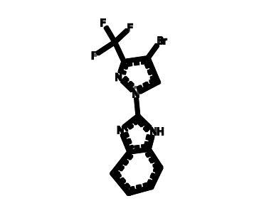 FC(F)(F)c1nn(-c2nc3ccccc3[nH]2)cc1Br